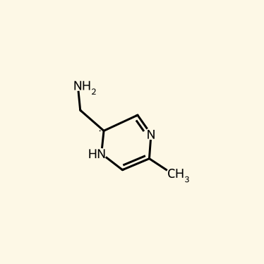 CC1=CN[C](CN)C=N1